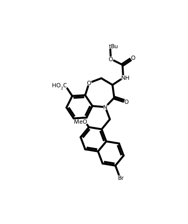 COc1ccc2cc(Br)ccc2c1CN1C(=O)C(NC(=O)OC(C)(C)C)COc2c(C(=O)O)cccc21